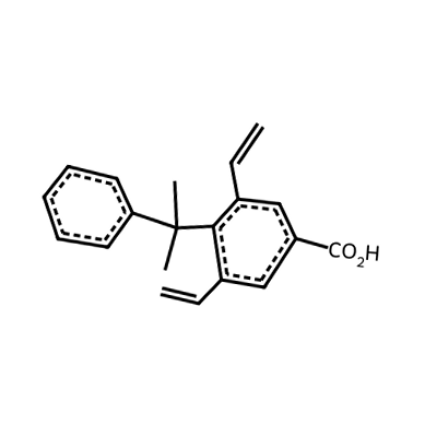 C=Cc1cc(C(=O)O)cc(C=C)c1C(C)(C)c1ccccc1